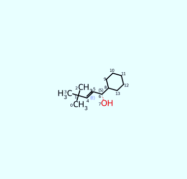 CC(C)(C)/C=C/[C@@H](O)C1CCCCC1